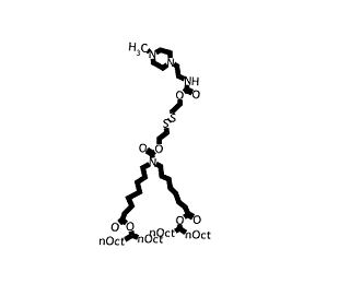 CCCCCCCCC(CCCCCCCC)OC(=O)CCCCCCCN(CCCCCCCC(=O)OC(CCCCCCCC)CCCCCCCC)C(=O)OCCSSCCOC(=O)NCCN1CCN(C)CC1